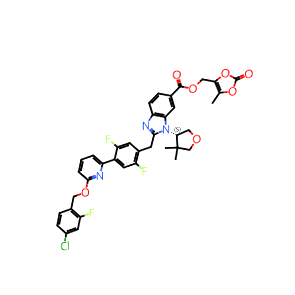 Cc1oc(=O)oc1COC(=O)c1ccc2nc(Cc3cc(F)c(-c4cccc(OCc5ccc(Cl)cc5F)n4)cc3F)n([C@@H]3COCC3(C)C)c2c1